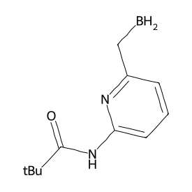 BCc1cccc(NC(=O)C(C)(C)C)n1